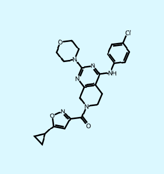 O=C(c1cc(C2CC2)on1)N1CCc2c(nc(N3CCOCC3)nc2Nc2ccc(Cl)cc2)C1